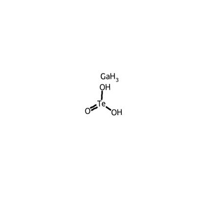 O=[Te](O)O.[GaH3]